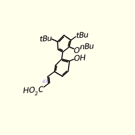 CCCCOc1c(-c2cc(/C=C/C(=O)O)ccc2O)cc(C(C)(C)C)cc1C(C)(C)C